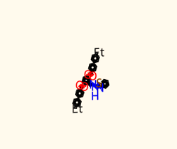 CCC1CCC([C@H]2CC[C@H](C(=O)Oc3ccc(OC(=O)[C@H]4CC[C@H](C5CCC(CC)CC5)CC4)c(/C=N/Nc4nc5ccccc5s4)c3)CC2)CC1